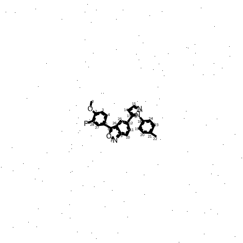 COc1ccc(-c2onc3ccc(-c4ccnn4-c4ccc(C)cc4)cc23)cc1F